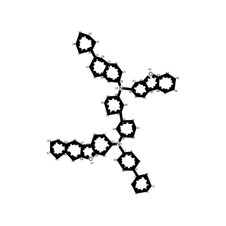 c1ccc(-c2ccc(N(c3cccc(-c4cccc(N(c5ccc6cc(-c7ccccc7)ccc6c5)c5ccc6c(c5)oc5ccccc56)c4)c3)c3ccc4c(c3)oc3cc5ccccc5cc34)cc2)cc1